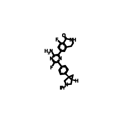 CC(C)N1C[C@H]2C[C@@]2(c2ccc(-c3nc(-c4cc(F)c5c(c4)CCNC5=O)c(N)nc3F)cc2)C1